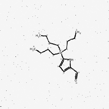 CCC[CH2][Sn]([CH2]CCC)([CH2]CCC)[c]1ccc(C=O)[nH]1